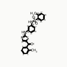 Cc1ccccc1C(=O)c1cnc(Nc2cccc(NS(=O)(=O)c3ccccc3C)c2)s1